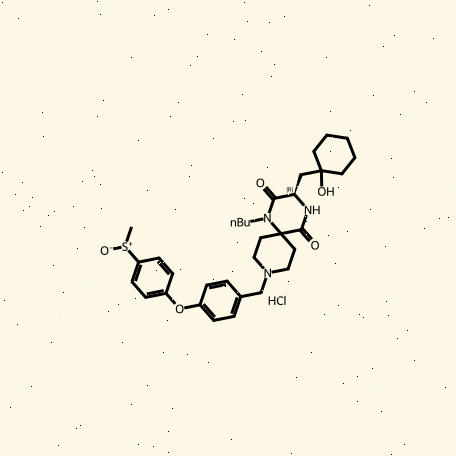 CCCCN1C(=O)[C@@H](CC2(O)CCCCC2)NC(=O)C12CCN(Cc1ccc(Oc3ccc([S+](C)[O-])cc3)cc1)CC2.Cl